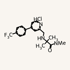 CNC(=O)C(C)(C)NCc1cc(-c2ccc(C(F)(F)F)cc2)ccn1.Cl